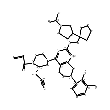 C=CC(=O)N1CCN(c2nc(OCC3(C4CCN(C(C)C)C4)CCCC3)nc3c2CCN(c2cccc(Cl)c2Cl)C3)C[C@@H]1CC#N